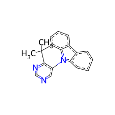 CC1(C)c2ncncc2-n2c3ccccc3c3cccc1c32